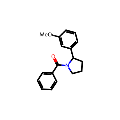 COc1cccc(C2CCCN2C(=O)c2ccccc2)c1